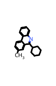 Cc1ccc2c(c1)c(C1CCCCC1)nc1ccccc12